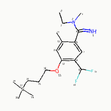 CCN(C)C(=N)c1cc(C(F)F)c(OCCC[Si](C)(C)C)cc1C